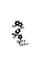 COC(=O)N[C@@H]1CC[C@@H](n2c(=O)n(C)c3cnc(Nc4ccc5cccc(Br)c5n4)cc32)C1